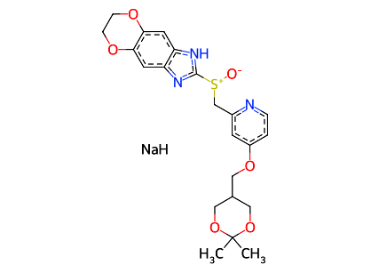 CC1(C)OCC(COc2ccnc(C[S+]([O-])c3nc4cc5c(cc4[nH]3)OCCO5)c2)CO1.[NaH]